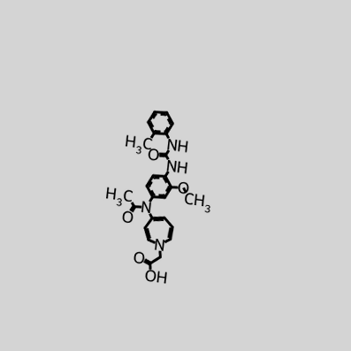 COc1cc(N(C(C)=O)C2=CC=CN(CC(=O)O)C=C2)ccc1NC(=O)Nc1ccccc1C